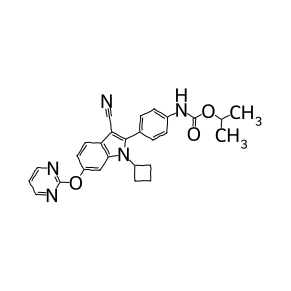 CC(C)OC(=O)Nc1ccc(-c2c(C#N)c3ccc(Oc4ncccn4)cc3n2C2CCC2)cc1